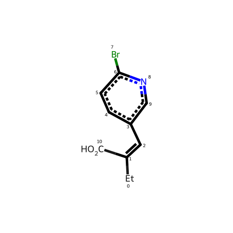 CCC(=Cc1ccc(Br)nc1)C(=O)O